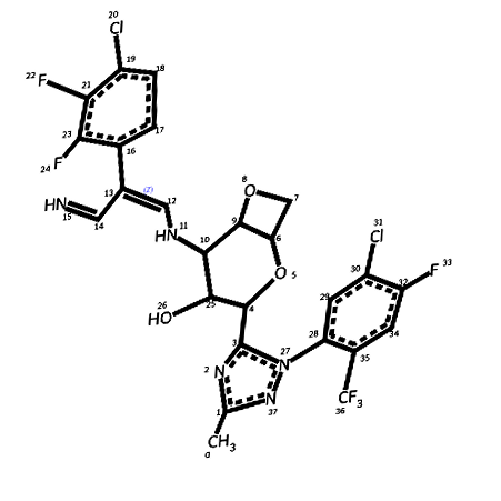 Cc1nc(C2OC3COC3C(N/C=C(\C=N)c3ccc(Cl)c(F)c3F)C2O)n(-c2cc(Cl)c(F)cc2C(F)(F)F)n1